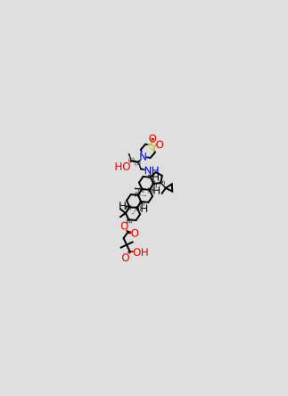 C[C@H](O)[C@H](CN[C@]12CC[C@@H](C3(C)CC3)[C@@H]1[C@H]1CC[C@@H]3[C@@]4(C)CC[C@H](OC(=O)CC(C)(C)C(=O)O)C(C)(C)[C@@H]4CC[C@@]3(C)[C@]1(C)CC2)N1CCS(=O)(=O)CC1